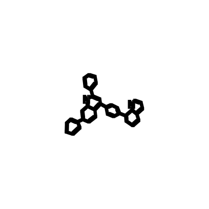 c1ccc(-c2ccc3c(-c4ccc(-c5cccc6cccnc56)cc4)cc(-c4ccccc4)nc3c2)cc1